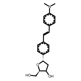 CN(C)c1ccc(/C=C/c2ccc([C@@H]3CC(O)[C@@H](CO)O3)cc2)cc1